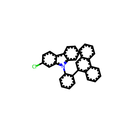 Clc1ccc2c3ccccc3n(-c3ccccc3-c3cc4ccccc4c4ccccc34)c2c1